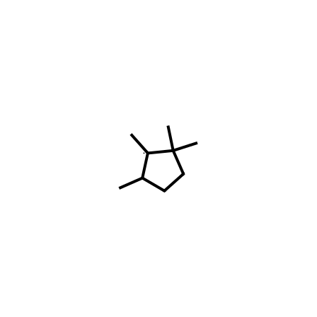 C[C]1C(C)CCC1(C)C